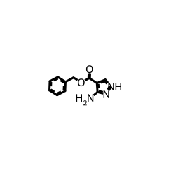 Nc1n[nH]cc1C(=O)OCc1ccccc1